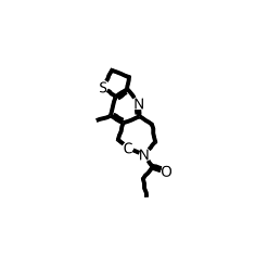 CCC(=O)N1CCc2nc3c(c(C)c2CC1)SCC3